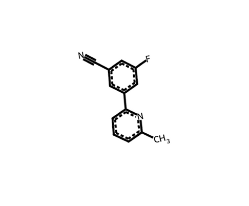 Cc1cccc(-c2cc(F)cc(C#N)c2)n1